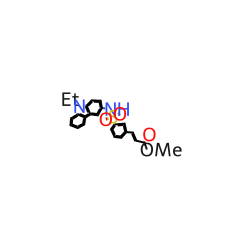 CCn1c2ccccc2c2cc(NS(=O)(=O)c3cccc(C=CC(=O)OC)c3)ccc21